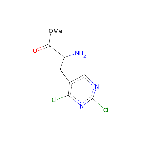 COC(=O)C(N)Cc1cnc(Cl)nc1Cl